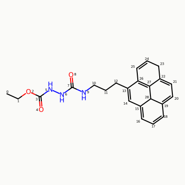 CCOC(=O)NNC(=O)NCCCC1=CC2=CC=CC3=CC=C4CC=CC1=C4C32